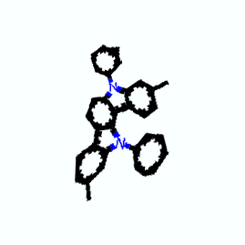 Cc1ccc2c3c(ccc4c5ccc(C)cc5n(-c5ccccc5)c43)n(-c3ccccc3)c2c1